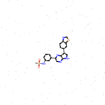 CS(=O)(=O)Nc1cccc(-c2cnc3[nH]cc(-c4ccc5ncsc5c4)c3n2)c1